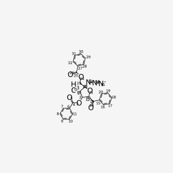 C[C@H]1C(OC(=O)c2ccccc2)[C@H](C(=O)c2ccccc2)O[C@@]1(COC(=O)c1ccccc1)N=[N+]=[N-]